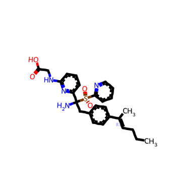 CCC/C=C(\C)c1ccc(CC(N)(c2cccc(NCC(=O)O)n2)S(=O)(=O)c2ccccn2)cc1